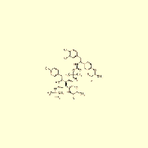 CC1Oc2ccc(C(Cc3ccc(Cl)c(Cl)c3)NC(=O)OC(C)(C)C)cc2NC1=S.CC1Oc2ccc(C(Cc3ccc(Cl)cc3)NC(=O)OC(C)(C)C)cc2NC1=S